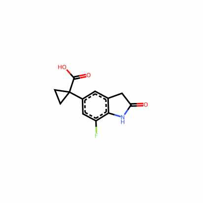 O=C1Cc2cc(C3(C(=O)O)CC3)cc(F)c2N1